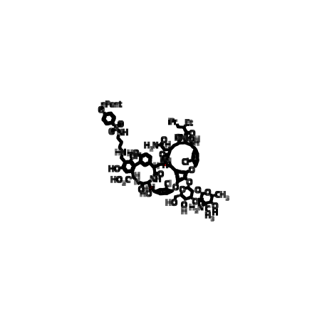 CCCCCOc1ccc(S(=O)(=O)NCCCNCc2c(O)cc3c(c2O)-c2cc(ccc2O)[C@H]2CC(=O)[C@@H]4NC(=O)[C@H](CC(N)=O)CC(=O)[C@H](NC(=O)[C@H](CC)CC(C)C)[C@H](O)c5ccc(c(Cl)c5)Oc5cc4cc(c5O[C@@H]4O[C@H](CO)[C@@H](O)[C@H](O)[C@H]4O[C@H]4C[C@](C)(N)[C@H](O)[C@H](C)O4)Oc4ccc(cc4Cl)[C@@H](O)[C@H](NC2=O)C(=O)N[C@@H]3C(=O)O)cc1